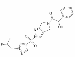 O=C([C@H](O)c1ccccc1)N1Cc2cn(S(=O)(=O)c3cnn(CC(F)F)c3)nc2C1